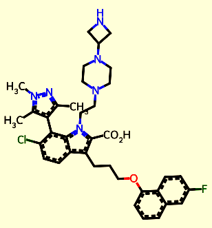 Cc1nn(C)c(C)c1-c1c(Cl)ccc2c(CCCOc3cccc4cc(F)ccc34)c(C(=O)O)n(CCN3CCN(C4CNC4)CC3)c12